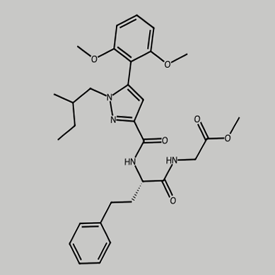 CCC(C)Cn1nc(C(=O)N[C@@H](CCc2ccccc2)C(=O)NCC(=O)OC)cc1-c1c(OC)cccc1OC